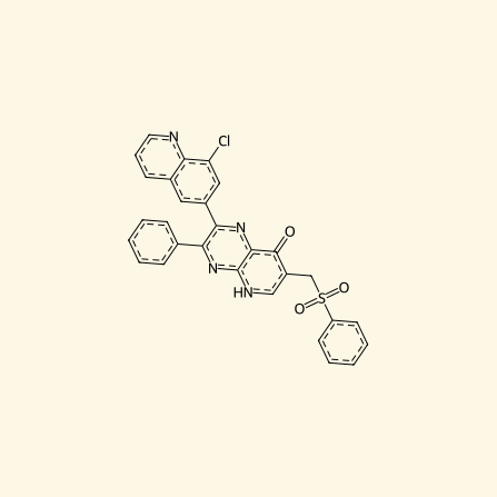 O=c1c(CS(=O)(=O)c2ccccc2)c[nH]c2nc(-c3ccccc3)c(-c3cc(Cl)c4ncccc4c3)nc12